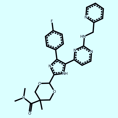 CN(C)C(=O)C1(C)COC(c2nc(-c3ccc(F)cc3)c(-c3ccnc(NCc4ccccn4)n3)[nH]2)OC1